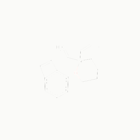 C1=Cc2ccccc21.C=C[Si]1(C=C)CCCCO1